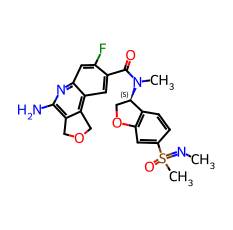 CN=S(C)(=O)c1ccc2c(c1)OC[C@H]2N(C)C(=O)c1cc2c3c(c(N)nc2cc1F)COC3